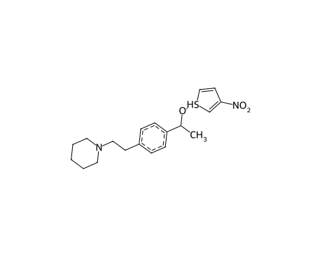 CC(O[SH]1C=CC([N+](=O)[O-])=C1)c1ccc(CCN2CCCCC2)cc1